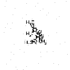 CCOc1ccc(-n2cc(-c3cnn(C)c3)c3c(ncn3C)c2=O)c(C)c1